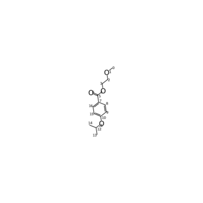 COCCOC(=O)c1ccc(OC(C)C)cc1